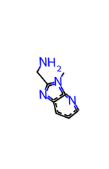 Cn1c(CN)nc2cccnc21